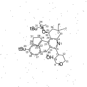 CC1(C)Cc2nc(C3CCOCC3)c([C@H](O)c3ccc(C(C)(C)C)cc3)c(C3=CCCC3)c2[C@@H](O[Si](C)(C)C(C)(C)C)C1